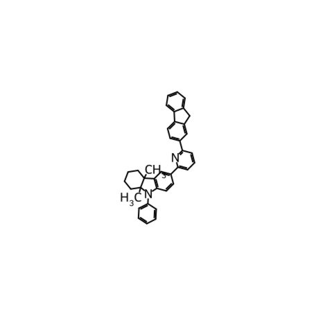 CC12CCCCC1(C)N(c1ccccc1)c1ccc(-c3cccc(-c4ccc5c(c4)Cc4ccccc4-5)n3)cc12